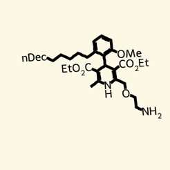 CCCCCCCCCCCCCCCc1cccc(OC)c1C1C(C(=O)OCC)=C(C)NC(COCCN)=C1C(=O)OCC